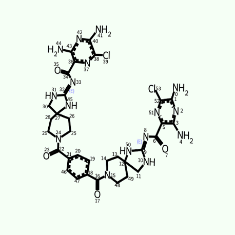 Nc1nc(N)c(C(=O)/N=C2\NCC3(CCN(C(=O)c4ccc(C(=O)N5CCC6(CC5)CN/C(=N\C(=O)c5nc(Cl)c(N)nc5N)N6)cc4)CC3)N2)nc1Cl